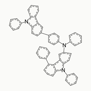 c1ccc(-c2cccc3c2c2cc(N(c4ccccc4)c4ccc(-c5ccc6c(c5)c5ccccc5n6-c5ccccc5)cc4)ccc2n3-c2ccccc2)cc1